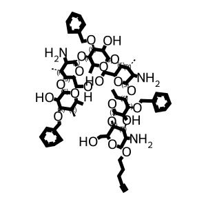 C#CCCCOC1OC(CO)[C@@H](O[C@@H]2OC(C)[C@H](O[C@@H]3OC(CO)[C@@H](O[C@@H]4OC(C)[C@@H](O[C@@H]5OC(CO)[C@@H](O[C@@H]6OC(C)[C@@H](C)[C@@H](OCc7ccccc7)C6O)[C@H](C)C5N)[C@@H](OCc5ccccc5)C4O)[C@H](C)C3N)[C@@H](OCc3ccccc3)C2O)[C@H](C)C1N